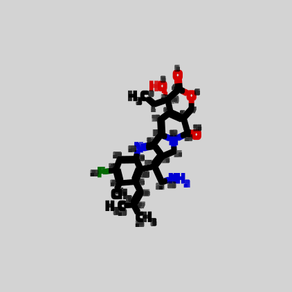 CC[C@@]1(O)C(=O)OCc2c1cc1n(c2=O)Cc2c-1nc1cc(F)c(C)c(C=C(C)C)c1c2CN